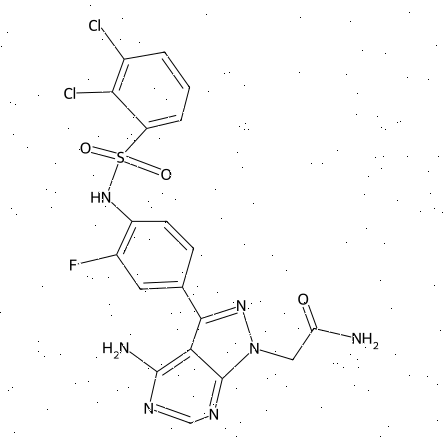 NC(=O)Cn1nc(-c2ccc(NS(=O)(=O)c3cccc(Cl)c3Cl)c(F)c2)c2c(N)ncnc21